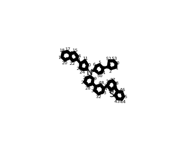 c1ccc(-c2ccc(N(c3ccc(-c4ccc5ccccc5c4)cc3)c3cccc(-c4cccc(-c5cccc6c5sc5ccccc56)c4)c3)cc2)cc1